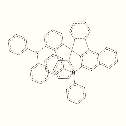 c1ccc(N(c2ccccc2)c2cccc3c2-c2ccccc2C32c3ccccc3-c3c2c(N(c2ccccc2)c2ccccc2)cc2ccccc32)cc1